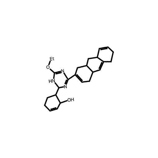 CCOC1=NC(C2=CCC3C=C4CCC=CC4CC3C2)=NC(C2CCC=CC2O)N1